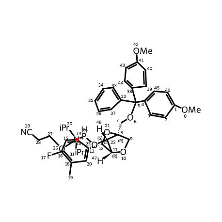 COc1ccc(C(OC[C@@]23CO[C@H]([C@H](c4ccc(F)c(C)c4)O2)[C@@H]3OP[N+](OCCC#N)(C(C)C)C(C)C)(c2ccccc2)c2ccc(OC)cc2)cc1